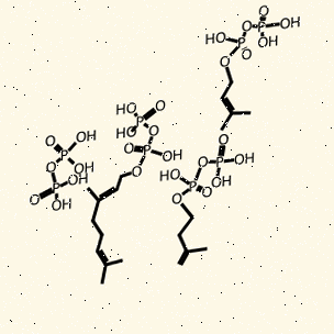 C=C(C)CCOP(=O)(O)OP(=O)(O)O.CC(C)=CCCC(C)=CCOP(=O)(O)OP(=O)(O)O.CC(C)=CCOP(=O)(O)OP(=O)(O)O.O=P(O)(O)OP(=O)(O)O